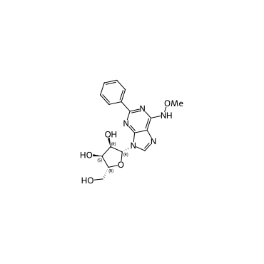 CONc1nc(-c2ccccc2)nc2c1ncn2[C@@H]1O[C@H](CO)[C@@H](O)[C@H]1O